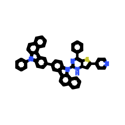 C1=C(c2ccncc2)SC2=C(c3ccccc3)N=C(n3c4ccc(-c5ccc6c(c5)c5c7ccccc7ccc5n6-c5ccccc5)cc4c4ccc5ccccc5c43)NC12